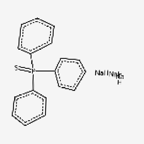 S=P(c1ccccc1)(c1ccccc1)c1ccccc1.[NaH].[NaH].[NaH]